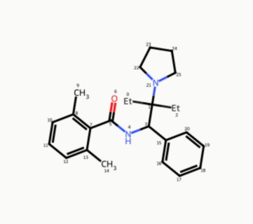 CCC(CC)(C(NC(=O)c1c(C)cccc1C)c1ccccc1)N1CCCC1